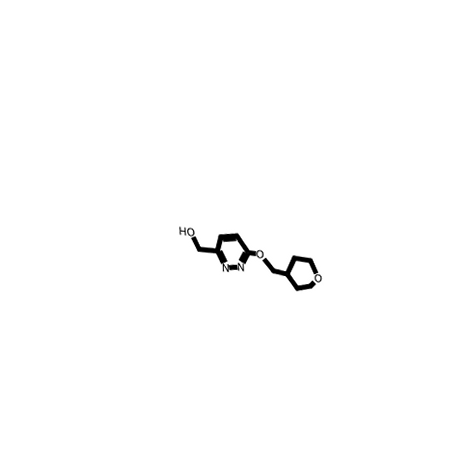 OCc1ccc(OCC2CCOCC2)nn1